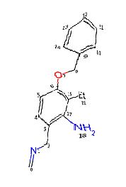 C=NCc1ccc(OCc2ccccc2)c(CC)c1N